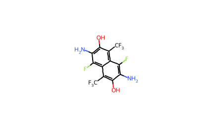 Nc1c(O)c(C(F)(F)F)c2c(F)c(N)c(O)c(C(F)(F)F)c2c1F